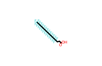 O=C(O)CCC(F)(F)C(F)(F)C(F)(F)C(F)(F)C(F)(F)C(F)(F)C(F)(F)C(F)(F)C(F)(F)C(F)(F)C(F)(F)C(F)(F)C(F)(F)F